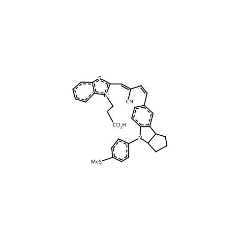 CSc1ccc(N2c3ccc(/C=C\C(C#N)=C\c4sc5ccccc5[n+]4CCC(=O)O)cc3C3CCCC32)cc1